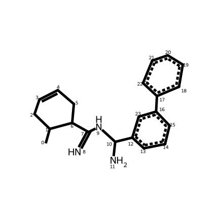 CC1CC=CCC1C(=N)NC(N)c1cccc(-c2ccccc2)c1